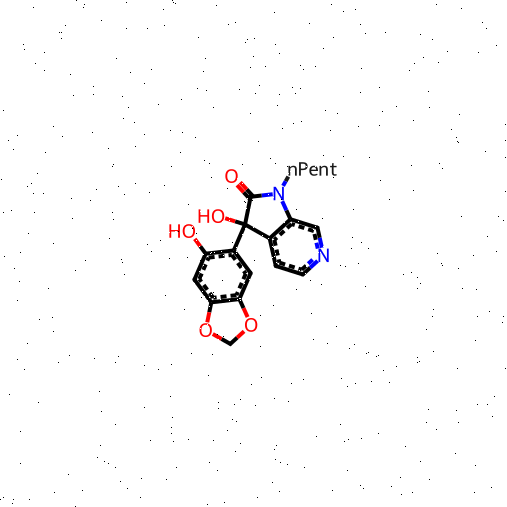 CCCCCN1C(=O)C(O)(c2cc3c(cc2O)OCO3)c2ccncc21